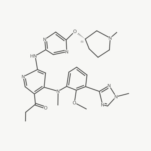 CCC(=O)c1cnc(Nc2cnc(O[C@H]3CCCN(C)C3)cn2)cc1N(C)c1cccc(-c2ncn(C)n2)c1OC